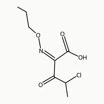 CCCON=C(C(=O)O)C(=O)C(C)Cl